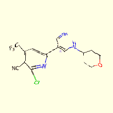 N#Cc1c(C(F)(F)F)cc(/C(C=N)=C/NC2CCOCC2)nc1Cl